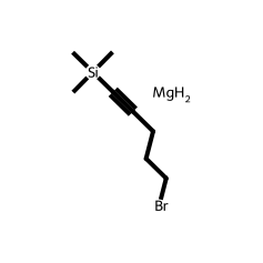 C[Si](C)(C)C#CCCCBr.[MgH2]